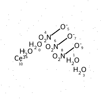 O.O.O.O.O=[N+]([O-])[O-].O=[N+]([O-])[O-].O=[N+]([O-])[O-].[Ce+3]